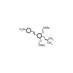 COCOc1cc(/C=C/c2ccc([N+](=O)[O-])cc2)cc(OCOC)c1CC=C(C)C